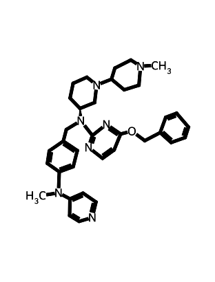 CN1CCC(N2CCC[C@H](N(Cc3ccc(N(C)c4ccncc4)cc3)c3nccc(OCc4ccccc4)n3)C2)CC1